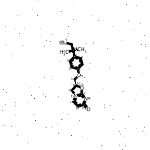 CC(C)(C)CC(C)(C)c1ccc(OC[C@@H]2Cn3ccc(=O)nc3O2)cc1